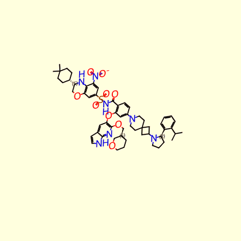 CC(C)c1ccccc1[C@H]1CCCN1C1CC2(CCN(c3ccc(C(=O)NS(=O)(=O)c4cc5c(c([N+](=O)[O-])c4)N[C@@H](C4CCC(C)(C)CC4)CO5)c(Oc4cc5cc[nH]c5nc4OC[C@H]4CCCOC4)c3)CC2)C1